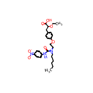 CCCCCCN(CCOc1ccc(CC(OCC)C(=O)O)cc1)C(=O)Nc1ccc([N+](=O)[O-])cc1